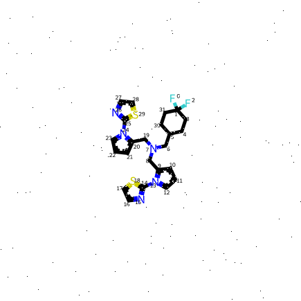 FC1(F)CCC(CN(Cc2cccn2-c2nccs2)Cc2cccn2-c2nccs2)CC1